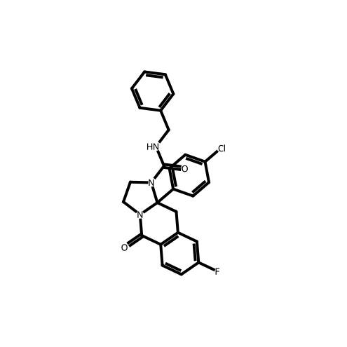 O=C(NCc1ccccc1)N1CCN2C(=O)c3ccc(F)cc3CC12c1ccc(Cl)cc1